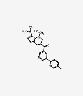 C[C@H]1CN(C(=O)c2cncc(-c3ccc(F)cc3)c2)Cc2cnc([C@@](C)(O)C(F)(F)F)n21